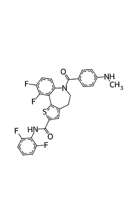 CNc1ccc(C(=O)N2CCc3cc(C(=O)Nc4c(F)cccc4F)sc3-c3c2ccc(F)c3F)cc1